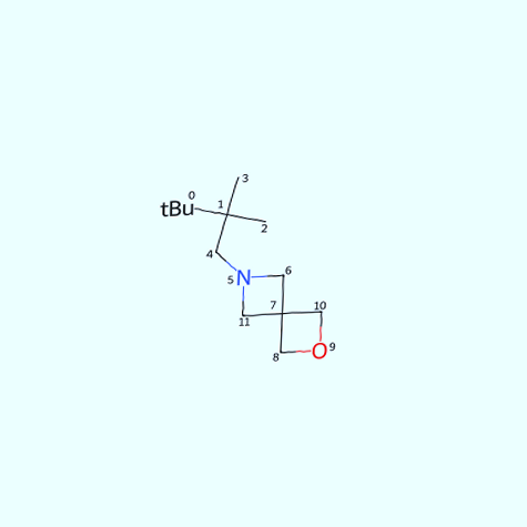 CC(C)(C)C(C)(C)CN1CC2(COC2)C1